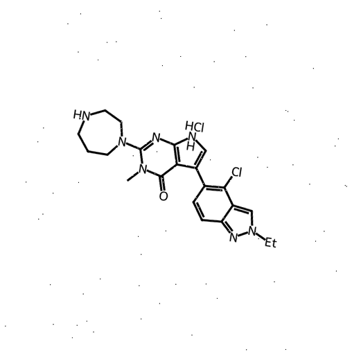 CCn1cc2c(Cl)c(-c3c[nH]c4nc(N5CCCNCC5)n(C)c(=O)c34)ccc2n1.Cl